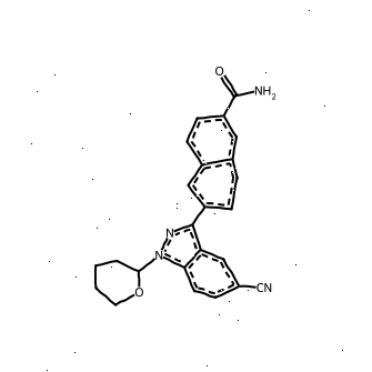 N#Cc1ccc2c(c1)c(-c1ccc3cc(C(N)=O)ccc3c1)nn2C1CCCCO1